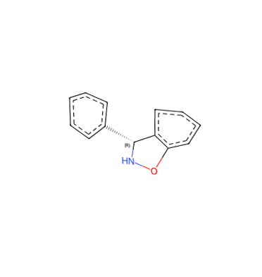 c1ccc([C@H]2NOc3ccccc32)cc1